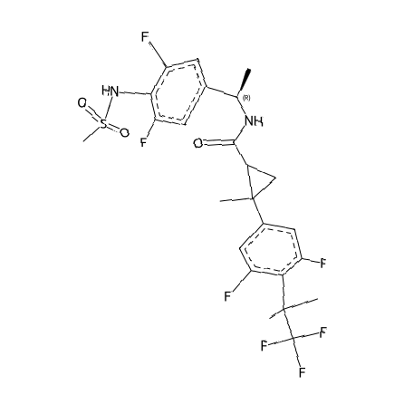 C[C@@H](NC(=O)C1CC1(C)c1cc(F)c(C(C)(C)C(F)(F)F)c(F)c1)c1cc(F)c(NS(C)(=O)=O)c(F)c1